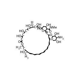 CNC(=O)C1[C@@H]2CC(O[C@@H]3OC[C@@H](O)[C@H](N)[C@@H]3O)/C=C/C=C/C=C/C=C/C=C/C=C/C=C/[C@H](C)[C@@H](O)C[C@H](C)OC(=O)CC(O)CC(O)CC[C@@H](O)[C@H](O)CC(O)CC(O)(C[C@@H]1O)O2